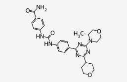 C[C@@H]1COCCN1c1nc(-c2ccc(NC(=O)Nc3ccc(C(N)=O)cc3)cc2)nc(C2CCOCC2)n1